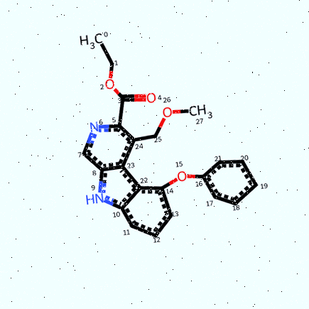 CCOC(=O)c1ncc2[nH]c3cccc(Oc4ccccc4)c3c2c1COC